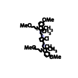 COCCCN1/C(=C/C=C2\CCC(/C=C/C3N(CCCOC)c4ccc(OC)cc4C3(C)C)=C2Cl)C(C)(C)c2cc(OC)ccc21